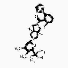 Cc1cc(N2C[C@H]3CN(C(=O)c4c(F)cccc4-n4nccn4)C[C@H]3C2)nc(C(C)(C)O)c1C